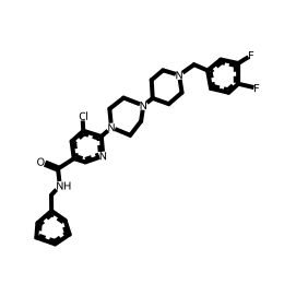 O=C(NCc1ccccc1)c1cnc(N2CCN(C3CCN(Cc4ccc(F)c(F)c4)CC3)CC2)c(Cl)c1